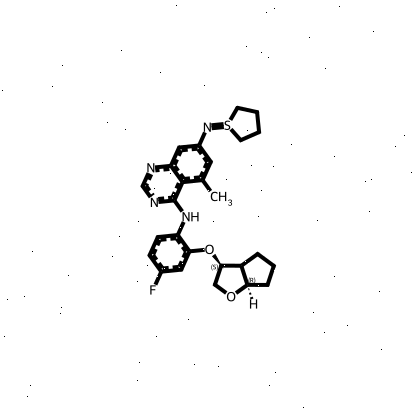 Cc1cc(N=S2CCCC2)cc2ncnc(Nc3ccc(F)cc3O[C@@H]3CO[C@@H]4CCCC43)c12